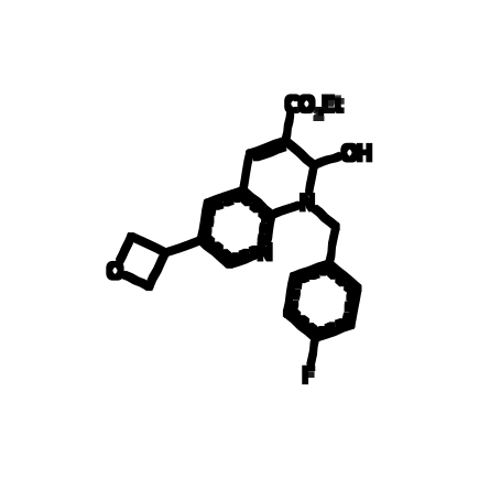 CCOC(=O)C1=Cc2cc(C3COC3)cnc2N(Cc2ccc(F)cc2)C1O